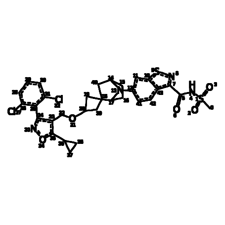 CS(=O)(=O)NC(=O)c1nsc2cc(N3C4CCC3C3(CC(OCc5c(-c6c(Cl)cccc6Cl)noc5C5CC5)C3)C4)ccc12